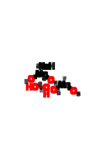 OO.[NaH].[O]=[Mn]=[O].[O]=[Mn]=[O]